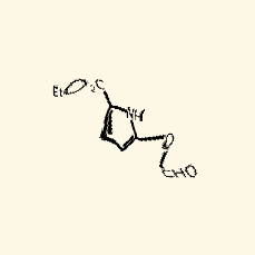 CCOC(=O)c1ccc(OC=O)[nH]1